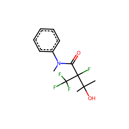 CN(C(=O)C(F)(C(C)(C)O)C(F)(F)F)c1ccccc1